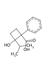 CC(C)C1(O)CCC1(C(=O)O)c1ccccc1